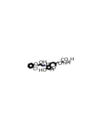 CCCC(OC[C@@H]1CC[C@@H]2[C@@H](/C=C/[C@@H](O)COc3ccccc3Cl)[C@H](O)C[C@@H]2OC1)C(=O)O